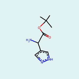 CC(C)(C)OC(=O)C(N)c1cn[nH]c1